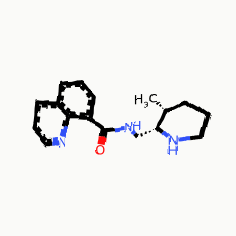 C[C@@H]1CCCN[C@@H]1CNC(=O)c1cccc2cccnc12